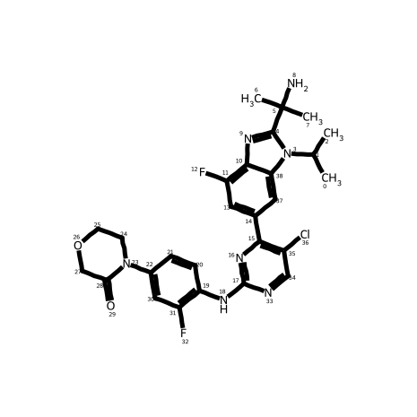 CC(C)n1c(C(C)(C)N)nc2c(F)cc(-c3nc(Nc4ccc(N5CCOCC5=O)cc4F)ncc3Cl)cc21